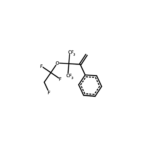 C=C(c1ccccc1)C(OC(F)(F)CF)(C(F)(F)F)C(F)(F)F